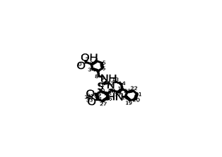 O=C(O)c1cccc(CNC(=S)N2CCc3c([nH]c4ccccc34)[C@H]2c2ccc3c(c2)OCO3)c1